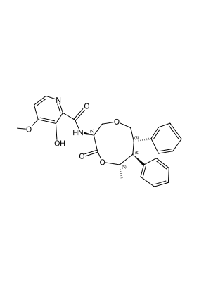 COc1ccnc(C(=O)N[C@H]2COC[C@H](c3ccccc3)[C@@H](c3ccccc3)[C@H](C)OC2=O)c1O